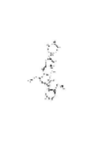 CCOc1cc2nc(C3CCOCC3)cn2cc1NC(=O)c1ccccc1OC